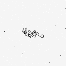 COc1cc2nsc(C(=O)C(=O)Nc3nccs3)c2nc1C(=O)N1CCC(Cc2ccccc2)C1